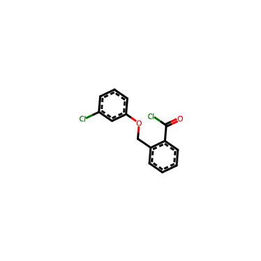 O=C(Cl)c1ccccc1COc1cccc(Cl)c1